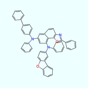 c1ccc(-c2ccc(N(c3ccccc3)c3cc(N(c4ccccc4)c4ccc5oc6ccccc6c5c4)c4c(ccc5nc(-c6ccccc6)oc54)c3)cc2)cc1